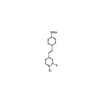 CC[n+]1ccc(/C=C/c2ccc(NC)cc2)cc1F